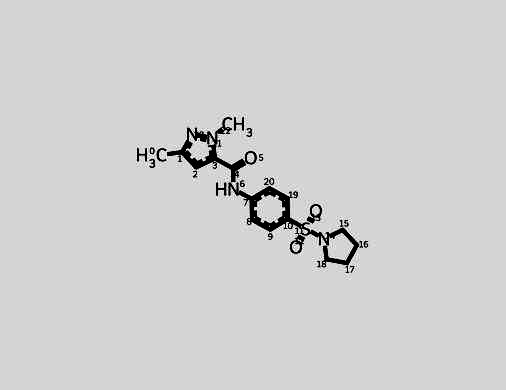 Cc1cc(C(=O)Nc2ccc(S(=O)(=O)N3CCCC3)cc2)n(C)n1